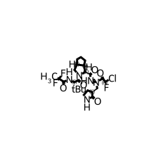 CC(F)(F)C(=O)N[C@H](C(=O)N1C[C@@H]2CCC[C@@H]2[C@H]1C(=O)NN(C[C@@H]1CCNC1=O)C(=O)[C@H](F)Cl)C(C)(C)C